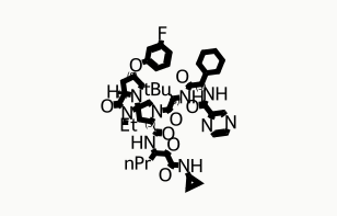 CCCC(NC(=O)[C@@H]1CC2(CN1C(=O)[C@@H](NC(=O)[C@@H](NC(=O)c1cnccn1)C1CCCCC1)C(C)(C)C)N(CC)C(=O)[C@@H]1C[C@H](Oc3cccc(F)c3)CN12)C(=O)C(=O)NC1CC1